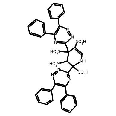 O=S(=O)(O)C1=CNC(c2nnc(-c3ccccc3)c(-c3ccccc3)n2)(S(=O)(=O)O)C(S(=O)(=O)O)C1(c1nnc(-c2ccccc2)c(-c2ccccc2)n1)S(=O)(=O)O